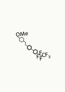 COCC1CCC(CCc2ccc(-c3ccc(C(F)(F)C(F)C(F)(F)F)cc3)cc2)CC1